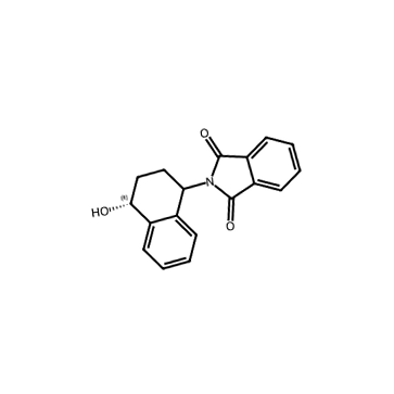 O=C1c2ccccc2C(=O)N1C1CC[C@@H](O)c2ccccc21